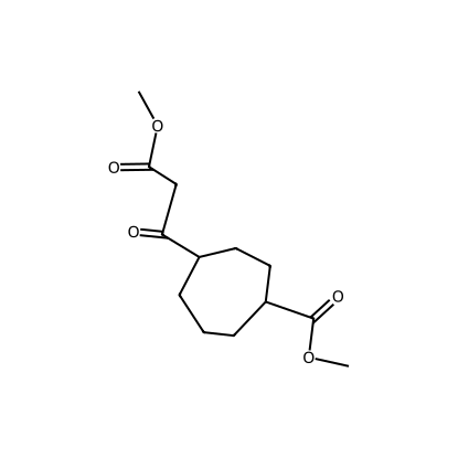 COC(=O)CC(=O)C1CCCC(C(=O)OC)CC1